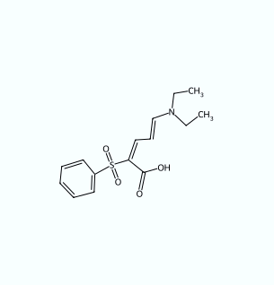 CCN(/C=C/C=C(\C(=O)O)S(=O)(=O)c1ccccc1)CC